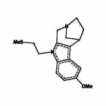 COc1ccc2c(c1)c1c(n2CCSC)CN2CCC1C2